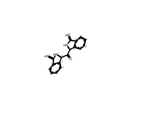 N=C1NC(C(=O)C2NC(=N)c3ccccc32)c2ccccc21